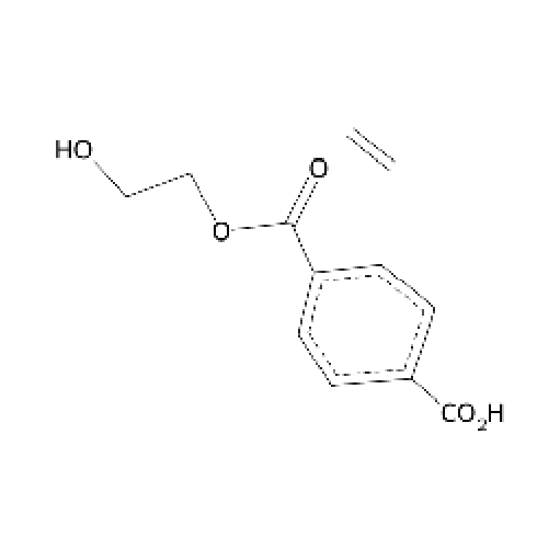 C=C.O=C(O)c1ccc(C(=O)OCCO)cc1